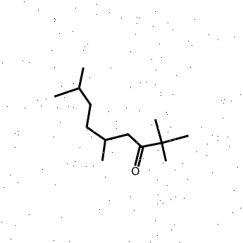 CC(C)CCC(C)CC(=O)C(C)(C)C